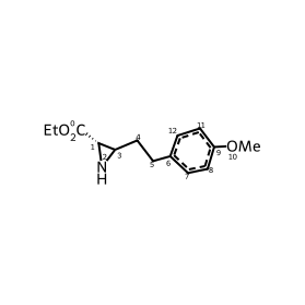 CCOC(=O)[C@H]1NC1CCc1ccc(OC)cc1